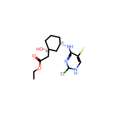 CCOC(=O)C[C@@]1(O)CCC[C@H](NC2=NC(Cl)NC=C2F)C1